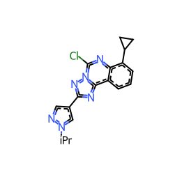 CC(C)n1cc(-c2nc3c4cccc(C5CC5)c4nc(Cl)n3n2)cn1